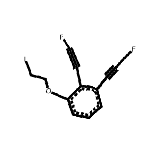 FC#Cc1cccc(OCCI)c1C#CF